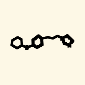 c1cn(CCCc2ccc(SC3CCCCC3)cc2)cn1